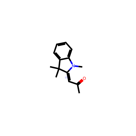 CC(=O)/C=C1\N(C)c2ccccc2C1(C)C